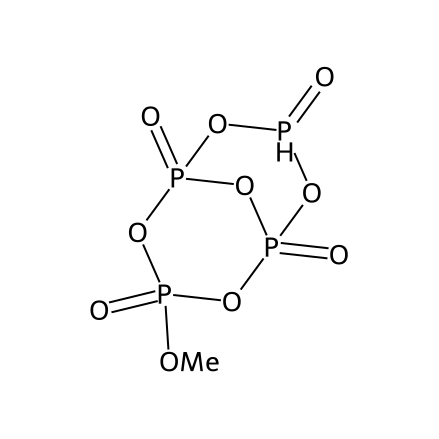 COP1(=O)OP2(=O)O[PH](=O)OP(=O)(O1)O2